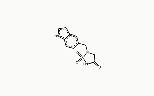 O=C1CN(Cc2ccc3[nH]ccc3c2)S(=O)(=O)N1